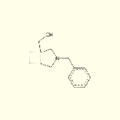 OCC12CCC1CN(Cc1ccccc1)C2